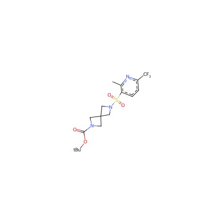 Cc1nc(C(F)(F)F)ccc1S(=O)(=O)N1CC2(CN(C(=O)OC(C)(C)C)C2)C1